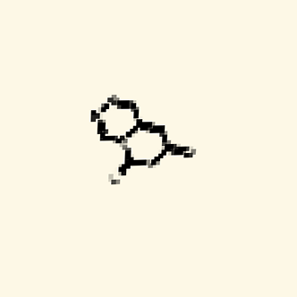 O=C1C=C2C=NN=CN2C(=O)C1